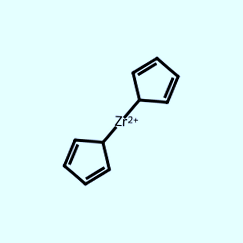 C1=C[CH]([Zr+2][CH]2C=CC=C2)C=C1